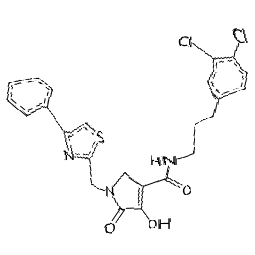 O=C(NCCCc1ccc(Cl)c(Cl)c1)C1=C(O)C(=O)N(Cc2nc(-c3ccccc3)cs2)C1